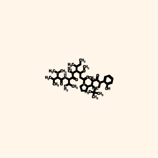 CCC(C)C(C(CC(=O)N1CCCC1C(SC(C)(C)C)C(C)C(=O)N(CC)c1ccccc1O)OC)N(C)C(=O)C(NC(=O)C(C(C)C)N(C)C)C(C)C